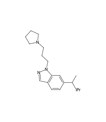 CC(C)C(C)c1ccc2cnn(CCCN3CCCC3)c2c1